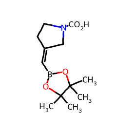 CC1(C)OB(C=C2CCN(C(=O)O)C2)OC1(C)C